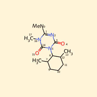 CNc1nc(=O)n(C2C(C)CCCC2C)c(=O)n1C